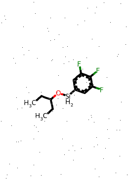 CCC(CC)O[SiH2]c1cc(F)c(F)c(F)c1